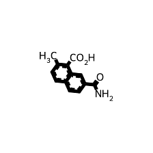 Cc1ccc2ccc(C(N)=O)cc2c1C(=O)O